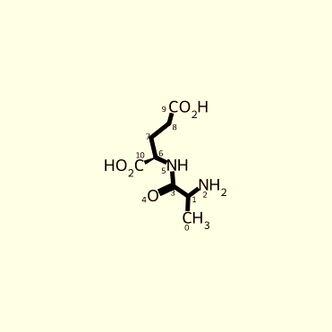 CC(N)C(=O)N[C@H](CCC(=O)O)C(=O)O